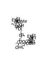 C=CCC1O[C@@H]2C(O[C@@H]3CC(CCC4CC(=C)C(CCC5CC(C)C(=C)C(CC6OC(CC(CO[Si](CC)(CC)CC)O[Si](CC)(CC)CC)[C@H](OC)C6CC=O)O5)O4)OC23)C(OC)C1O[Si](CC)(CC)CC